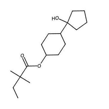 CCC(C)(C)C(=O)OC1CCC(C2(O)CCCC2)CC1